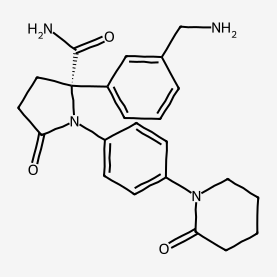 NCc1cccc([C@]2(C(N)=O)CCC(=O)N2c2ccc(N3CCCCC3=O)cc2)c1